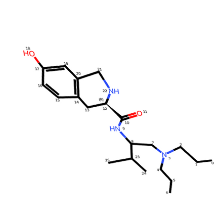 CCCN(CCC)CC(NC(=O)[C@H]1Cc2ccc(O)cc2CN1)C(C)C